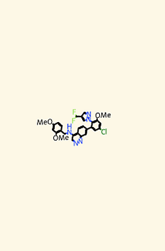 COc1ccc(CNc2cnnc3cc(-c4cc(Cl)cc(OC)c4-n4cc(C(F)F)cn4)ccc23)c(OC)c1